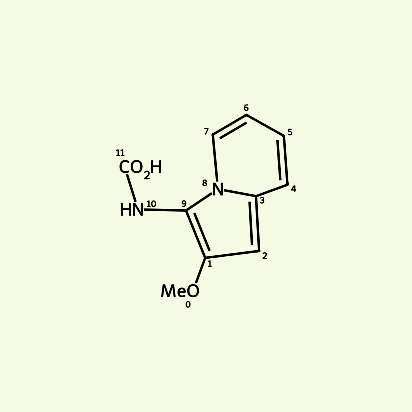 COc1cc2ccccn2c1NC(=O)O